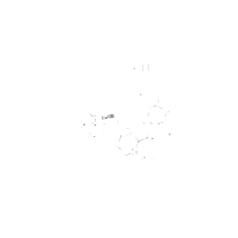 COCOc1ccc(F)cc1C(CC#C[Si](C)(C)C)c1cccn(C)c1=O